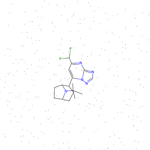 CC(C)(C)N1C2CCC(c3cc(C(F)F)nc4ncnn34)C1CC2